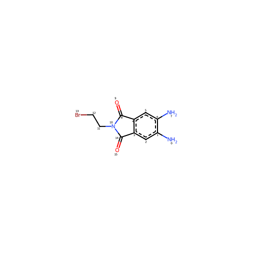 Nc1cc2c(cc1N)C(=O)N(CCBr)C2=O